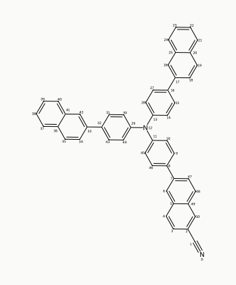 N#Cc1ccc2cc(-c3ccc(N(c4ccc(-c5ccc6ccccc6c5)cc4)c4ccc(-c5ccc6ccccc6c5)cc4)cc3)ccc2c1